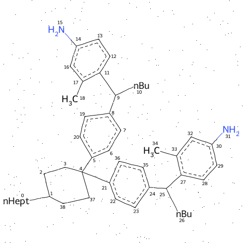 CCCCCCCC1CCC(c2ccc(C(CCCC)c3ccc(N)cc3C)cc2)(c2ccc(C(CCCC)c3ccc(N)cc3C)cc2)CC1